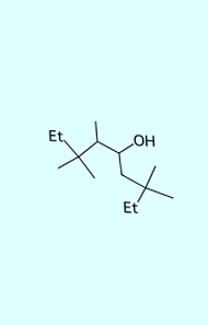 CCC(C)(C)CC(O)C(C)C(C)(C)CC